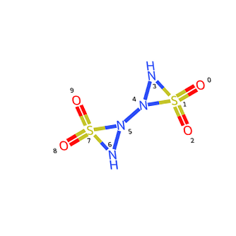 O=S1(=O)NN1N1NS1(=O)=O